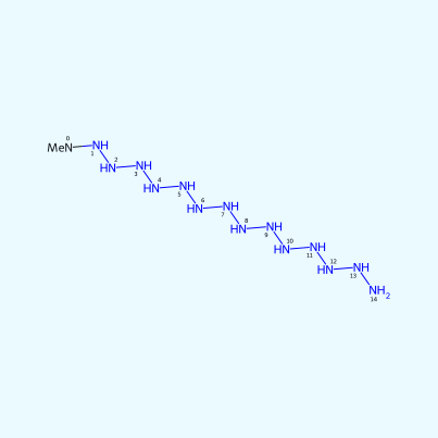 CNNNNNNNNNNNNNNN